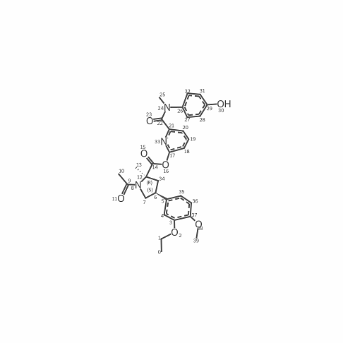 CCOc1cc([C@H]2CN(C(C)=O)[C@@](C)(C(=O)Oc3cccc(C(=O)N(C)c4ccc(O)cc4)n3)C2)ccc1OC